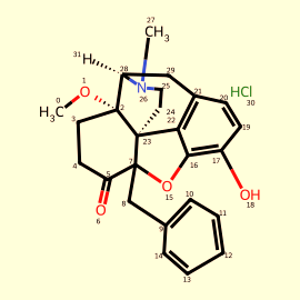 CO[C@@]12CCC(=O)C3(Cc4ccccc4)Oc4c(O)ccc5c4[C@@]31CCN(C)[C@@H]2C5.Cl